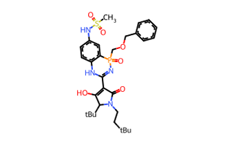 CC(C)(C)CCN1C(=O)C(C2=NP(=O)(COCc3ccccc3)c3cc(NS(C)(=O)=O)ccc3N2)=C(O)C1C(C)(C)C